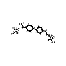 CC(CNS(=O)(=O)C(C)C)c1ccc(-c2ccc(CCNS(=O)(=O)C(C)C)cc2)cc1